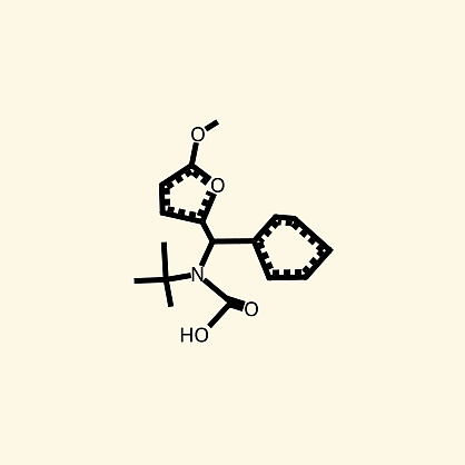 COc1ccc(C(c2ccccc2)N(C(=O)O)C(C)(C)C)o1